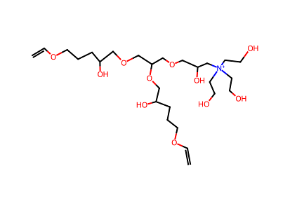 C=COCCCC(O)COCC(COCC(O)C[N+](CCO)(CCO)CCO)OCC(O)CCCOC=C